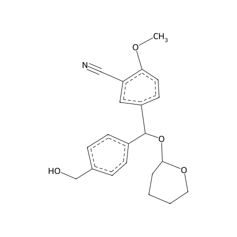 COc1ccc(C(OC2CCCCO2)c2ccc(CO)cc2)cc1C#N